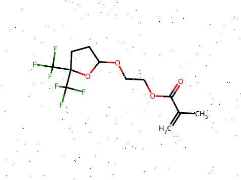 C=C(C)C(=O)OCCOC1CCC(C(F)(F)F)(C(F)(F)F)O1